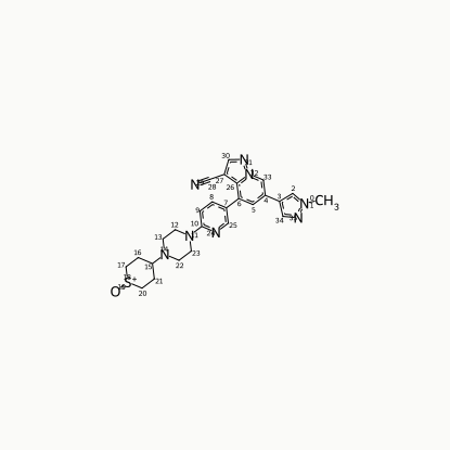 Cn1cc(-c2cc(-c3ccc(N4CCN(C5CC[S+]([O-])CC5)CC4)nc3)c3c(C#N)cnn3c2)cn1